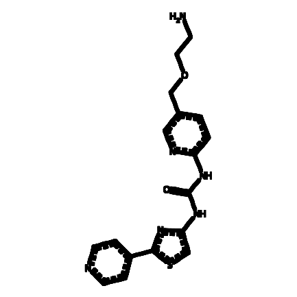 NCCOCc1ccc(NC(=O)Nc2csc(-c3ccncc3)n2)nc1